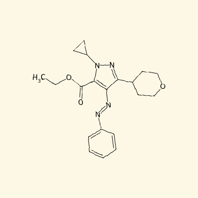 CCOC(=O)c1c(N=Nc2ccccc2)c(C2CCOCC2)nn1C1CC1